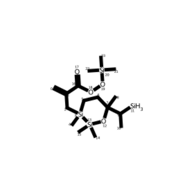 C=C(C[Si]1(C)CCC(C)(C(C)[SiH3])O[Si]1(C)C)C(=O)OO[Si](C)(C)C